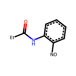 CCC(=O)Nc1ccccc1N=O